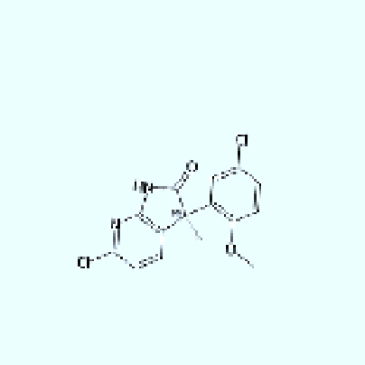 COc1ccc(Cl)cc1[C@]1(C)C(=O)Nc2nc(Cl)ccc21